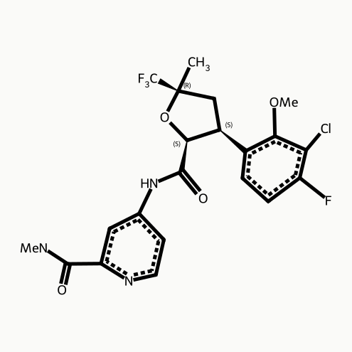 CNC(=O)c1cc(NC(=O)[C@H]2O[C@@](C)(C(F)(F)F)C[C@H]2c2ccc(F)c(Cl)c2OC)ccn1